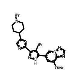 COc1cc(-c2[nH]nc(-c3ncc(C4CCN(C(C)C)CC4)s3)c2C(C)C)cn2ncnc12